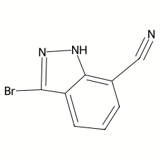 N#Cc1cccc2c(Br)n[nH]c12